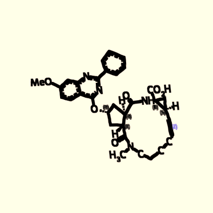 COc1ccc2c(O[C@@H]3C[C@H]4C(=O)N[C@]5(C(=O)O)C[C@H]5/C=C\CCCCN(C)C(=O)[C@@H]4C3)nc(-c3ccccc3)nc2c1